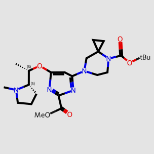 COC(=O)c1nc(O[C@@H](C)[C@@H]2CCCN2C)cc(N2CCN(C(=O)OC(C)(C)C)C3(CC3)C2)n1